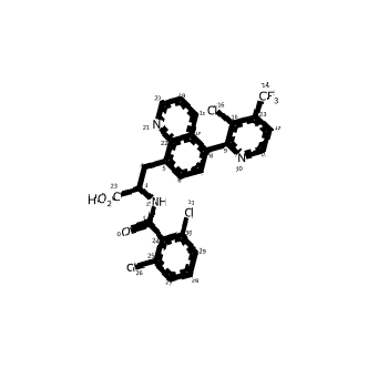 O=C(NC(Cc1ccc(-c2nccc(C(F)(F)F)c2Cl)c2cccnc12)C(=O)O)c1c(Cl)cccc1Cl